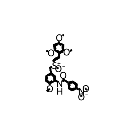 COc1cc(OC)c(/C=C/[S+]([O-])Cc2ccc(OC)c(NC(=O)c3ccc([N+](=O)[O-])cc3)c2)c(OC)c1